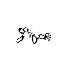 Cc1cccc(C2CCCCC2)c1OC1(C(=O)NS(=O)(=O)c2cccc(N3CCC(N)(CF)CC3)n2)CC1